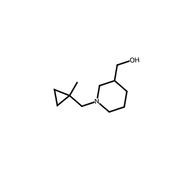 CC1(CN2CCCC(CO)C2)CC1